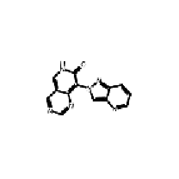 O=c1[nH]cc2cncnc2c1-n1cc2ncccc2n1